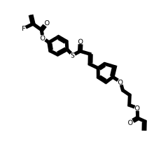 C=CC(=O)OCCCOc1ccc(/C=C/C(=O)Sc2ccc(OC(=O)C(=C)F)cc2)cc1